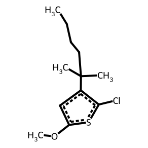 CCCCC(C)(C)c1cc(OC)sc1Cl